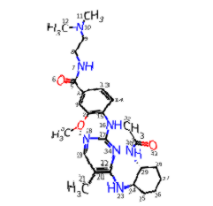 COc1cc(C(=O)NCCN(C)C)ccc1Nc1ncc(C)c(N[C@@H]2CCCC[C@H]2NC(C)=O)n1